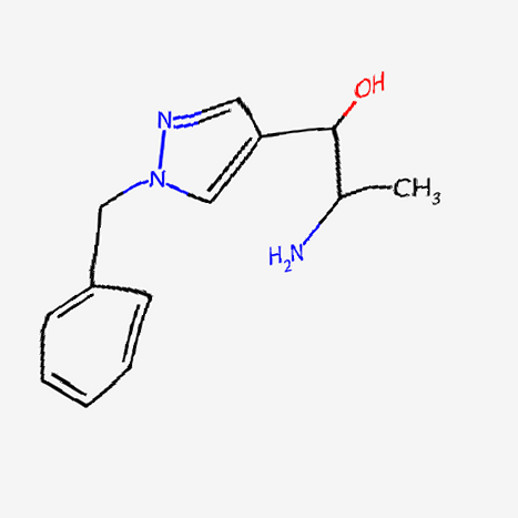 CC(N)C(O)c1cnn(Cc2ccccc2)c1